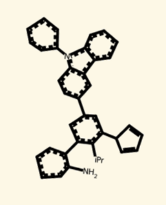 CC(C)c1c(-c2ccccc2N)cc(-c2ccc3c(c2)c2ccccc2n3-c2ccccc2)cc1C1C=CC=C1